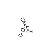 O=C(O)c1cc(-c2ccccc2)ccc1OCOc1ccccc1